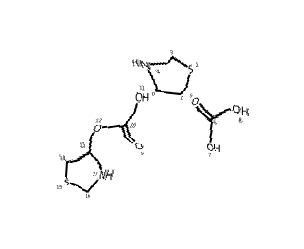 C1CSCN1.O=C(O)O.O=C(O)OC1CSCN1